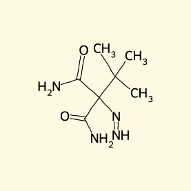 CC(C)(C)C(N=N)(C(N)=O)C(N)=O